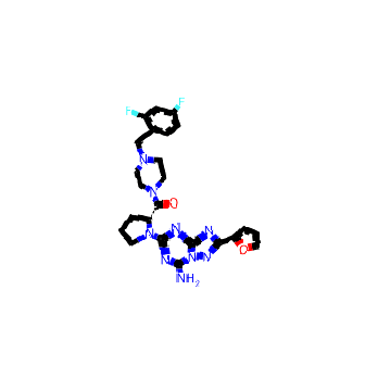 Nc1nc(N2CCC[C@@H]2C(=O)N2CCN(Cc3ccc(F)cc3F)CC2)nc2nc(-c3ccco3)nn12